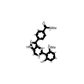 CNC(=O)c1ccc(-c2n[nH]c3cnc(-c4c(F)cccc4OC)nc23)cc1